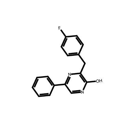 Oc1ncc(-c2ccccc2)nc1Cc1ccc(F)cc1